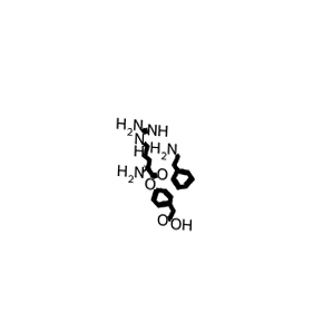 N=C(N)NCCC[C@@H](N)C(=O)Oc1ccc(CC(=O)O)cc1.NCCc1ccccc1